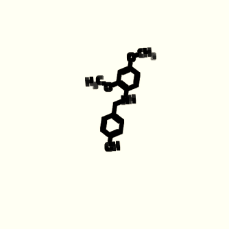 COc1ccc(NCc2ccc(O)cc2)c(OC)c1